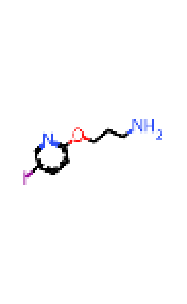 NCCCOc1ccc(I)cn1